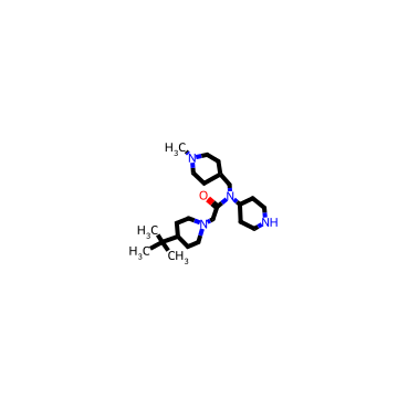 CN1CCC(CN(C(=O)CN2CCC(C(C)(C)C)CC2)C2CCNCC2)CC1